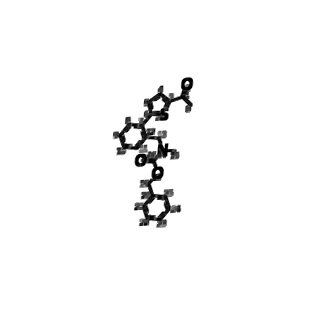 CC(=O)c1ccc(-c2ccccc2CN(C)C(=O)OCc2ccccc2)s1